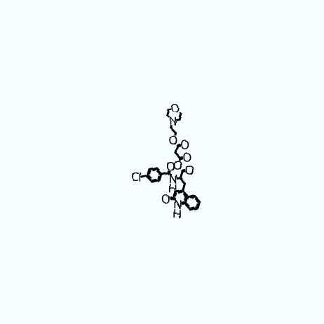 O=C(CC(=O)OC(=O)C(Cc1cc(=O)[nH]c2ccccc12)NC(=O)c1ccc(Cl)cc1)OCCN1CCOCC1